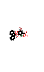 O=C(O)c1cc(Br)c2c(c1Cl)OC(c1ccccc1)(c1ccccc1)O2